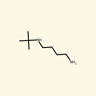 CC(C)(C)NCCCCN